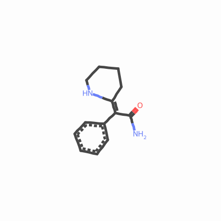 NC(=O)C(=C1CCCCN1)c1ccccc1